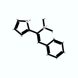 CN(C)C(=Cc1ccccc1)c1ccco1